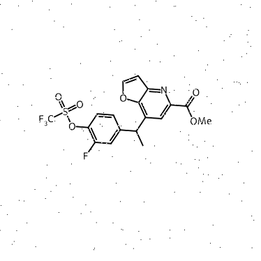 COC(=O)c1cc(C(C)c2ccc(OS(=O)(=O)C(F)(F)F)c(F)c2)c2occc2n1